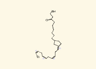 CC/C=C\C/C=C\C/C=C\C/C=C1/CCC(CCCCCCC(=O)CCC(C)CC)C1